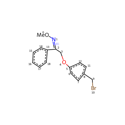 CO/N=C(/COc1ccc(CBr)cc1)c1ccccc1